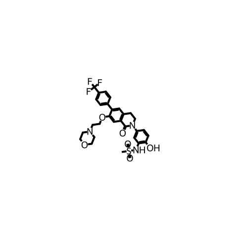 CS(=O)(=O)Nc1cc(N2CCc3cc(-c4ccc(C(F)(F)F)cc4)c(OCCN4CCOCC4)cc3C2=O)ccc1O